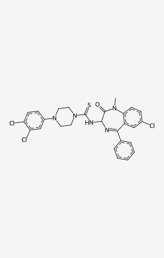 CN1C(=O)C(NC(=S)N2CCN(c3ccc(Cl)c(Cl)c3)CC2)N=C(c2ccccc2)c2cc(Cl)ccc21